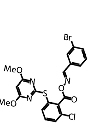 COc1cc(OC)nc(Sc2cccc(Cl)c2C(=O)O/N=C/c2cccc(Br)c2)n1